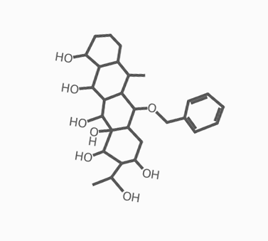 CC(O)C1C(O)CC2C(OCc3ccccc3)C3C(C)C4CCCC(O)C4C(O)C3C(O)C2(O)C1O